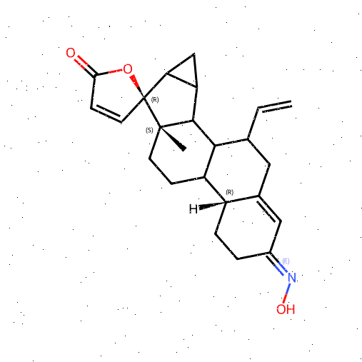 C=CC1CC2=C/C(=N/O)CC[C@@H]2C2CC[C@@]3(C)C(C4CC4[C@@]34C=CC(=O)O4)C12